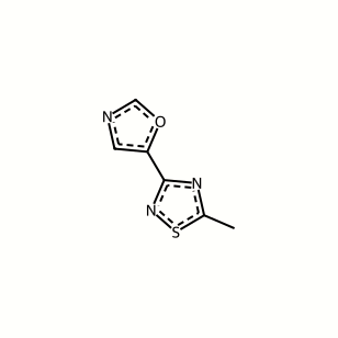 Cc1nc(-c2cnco2)ns1